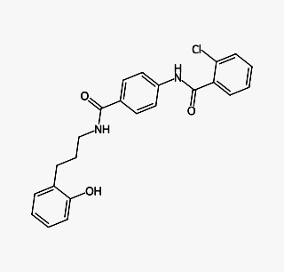 O=C(NCCCc1ccccc1O)c1ccc(NC(=O)c2ccccc2Cl)cc1